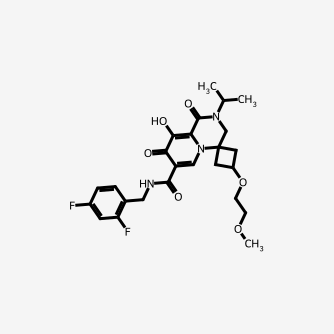 COCCOC1CC2(C1)CN(C(C)C)C(=O)c1c(O)c(=O)c(C(=O)NCc3ccc(F)cc3F)cn12